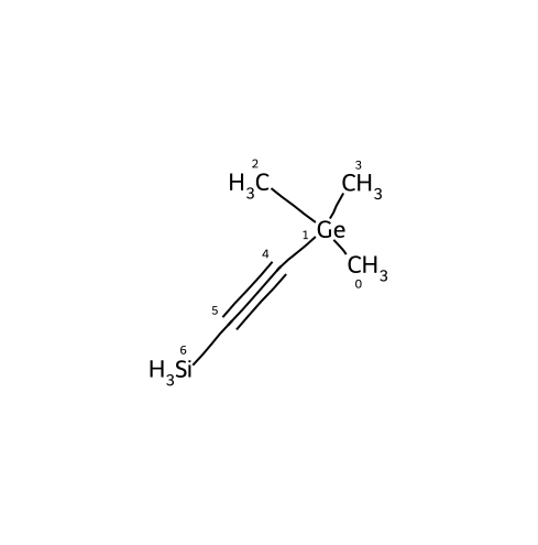 [CH3][Ge]([CH3])([CH3])[C]#C[SiH3]